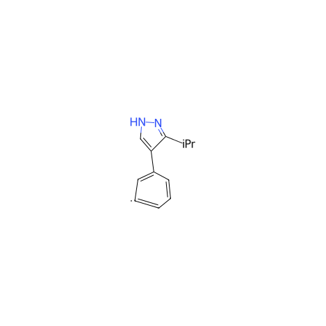 CC(C)c1n[nH]cc1-c1c[c]ccc1